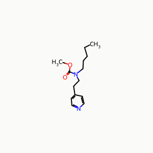 CCCCCN(CCc1ccncc1)C(=O)OC